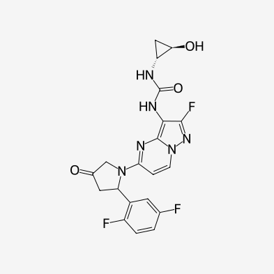 O=C1CC(c2cc(F)ccc2F)N(c2ccn3nc(F)c(NC(=O)N[C@@H]4C[C@H]4O)c3n2)C1